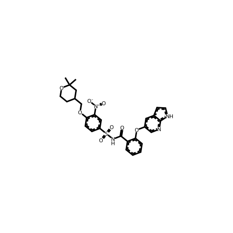 CC1(C)CC(COc2ccc(S(=O)(=O)NC(=O)c3ccccc3Oc3cnc4[nH]ccc4c3)cc2[N+](=O)[O-])CCO1